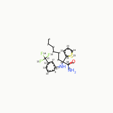 CCCCCCC(Nc1cccc(C(F)(F)F)c1)(C(N)=O)c1cccs1